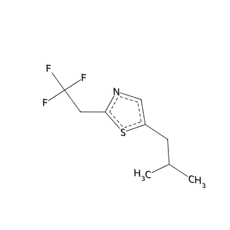 CC(C)Cc1cnc(CC(F)(F)F)s1